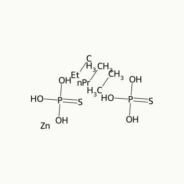 CC.CCC.CCCC.OP(O)(O)=S.OP(O)(O)=S.[Zn]